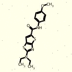 CCN(CC)c1nc2sc(C(=O)Nc3ccc(OC)cc3)cc2s1